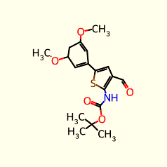 COC1=CC(c2cc(C=O)c(NC(=O)OC(C)(C)C)s2)=CC(OC)C1